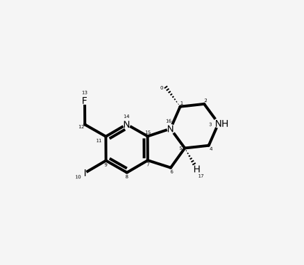 C[C@@H]1CNC[C@H]2Cc3cc(I)c(CF)nc3N21